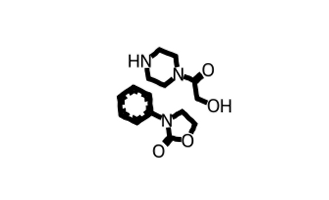 O=C(CO)N1CCNCC1.O=C1OCCN1c1ccccc1